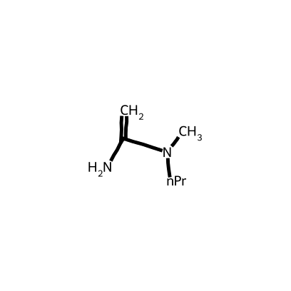 C=C(N)N(C)CCC